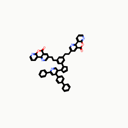 O=c1oc2ncccc2c2ncc(CCc3cc(CCc4cnc5c(c4)c(=O)oc4ncccc45)cc(C4=C(c5cnc(-c6ccccc6)cc5-c5ccc(-c6ccccc6)cc5)C=CC4)c3)cc12